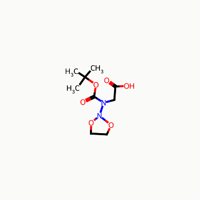 CC(C)(C)OC(=O)N(CC(=O)O)N1OCCO1